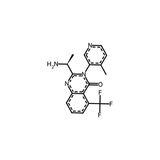 Cc1ccncc1-n1c([C@H](C)N)nc2cccc(C(F)(F)F)c2c1=O